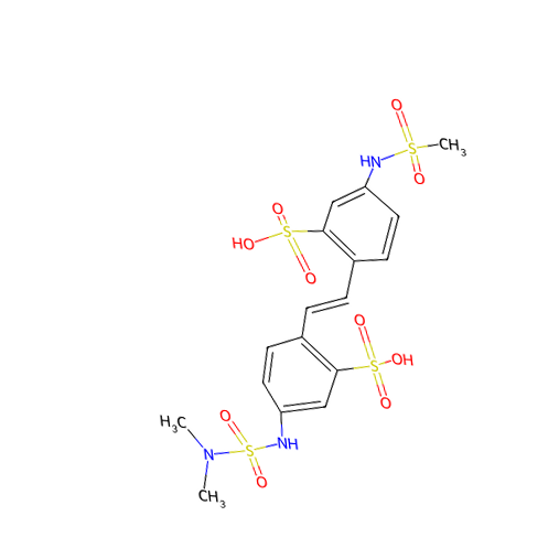 CN(C)S(=O)(=O)Nc1ccc(C=Cc2ccc(NS(C)(=O)=O)cc2S(=O)(=O)O)c(S(=O)(=O)O)c1